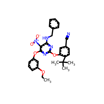 CCOc1cccc(Oc2nc(Oc3cc(C#N)ccc3C(C)(C)C)nc(NCc3ccccc3)c2[N+](=O)[O-])c1